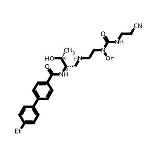 CCc1ccc(-c2ccc(C(=O)N[C@@H](CNCCN(O)C(=O)NCCC#N)[C@@H](C)O)cc2)cc1